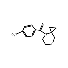 O=C(c1ccc([N+](=O)[O-])cc1)N1CCOCC12CC2